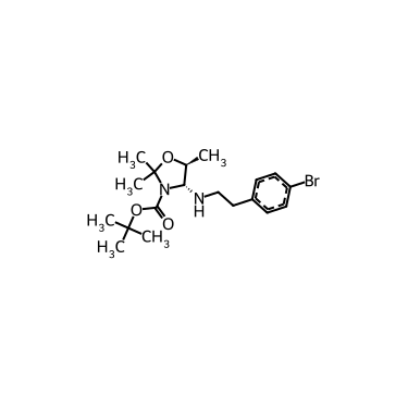 C[C@@H]1OC(C)(C)N(C(=O)OC(C)(C)C)[C@H]1NCCc1ccc(Br)cc1